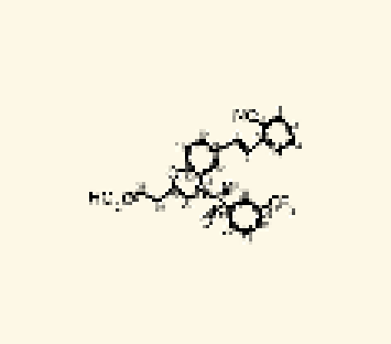 N#Cc1cccnc1C=Cc1ccc2c(c1)N(S(=O)(=O)c1cccc(C(F)(F)F)c1)CC(CCC(=O)O)O2